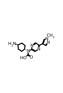 Cn1cc(-c2cnc(N(C(=O)O)[C@H]3CC[C@H](N)CC3)cn2)cn1